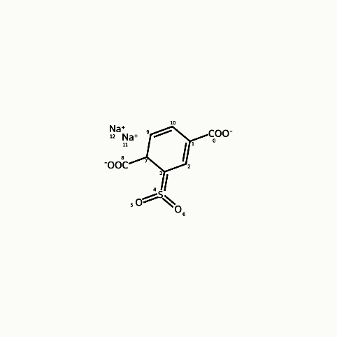 O=C([O-])C1=CC(=S(=O)=O)C(C(=O)[O-])C=C1.[Na+].[Na+]